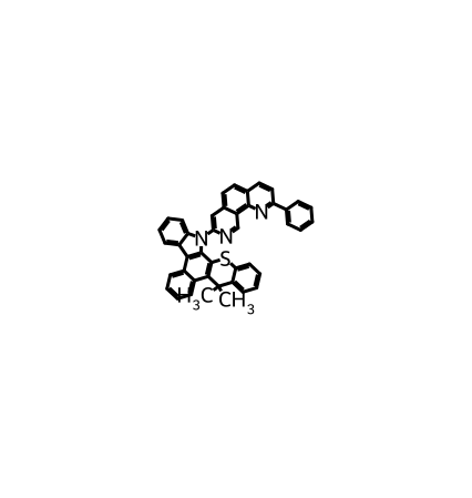 CC1(C)c2ccccc2Sc2c1c1ccccc1c1c3ccccc3n(-c3cc4ccc5ccc(-c6ccccc6)nc5c4cn3)c21